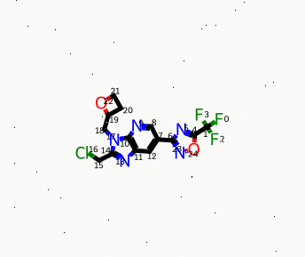 FC(F)(F)c1nc(-c2cnc3c(c2)nc(CCl)n3CC2CCO2)no1